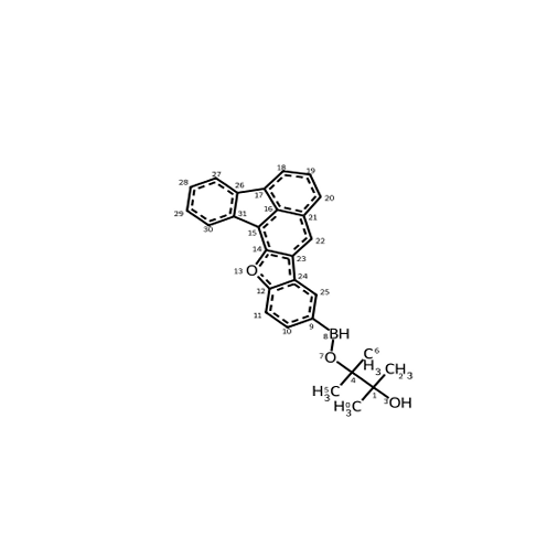 CC(C)(O)C(C)(C)OBc1ccc2oc3c4c5c(cccc5cc3c2c1)-c1ccccc1-4